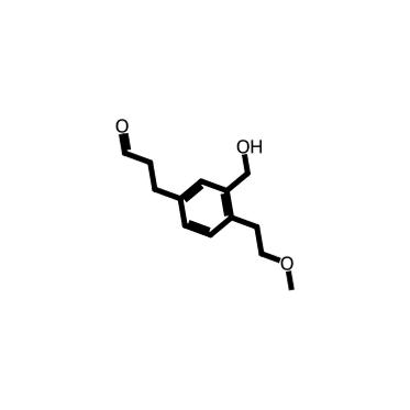 COCCc1ccc(CCC=O)cc1CO